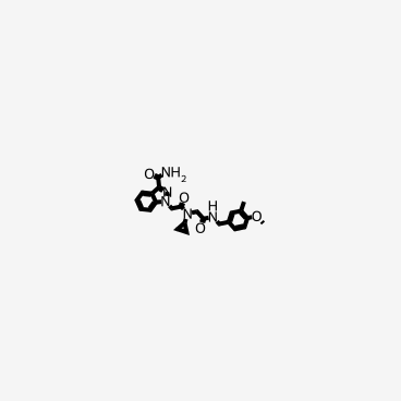 COc1ccc(CNC(=O)CN(C(=O)Cn2nc(C(N)=O)c3ccccc32)C2CC2)cc1C